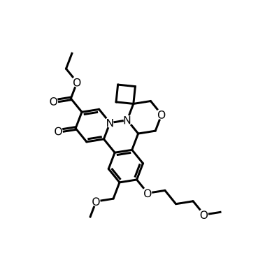 CCOC(=O)c1cn2c(cc1=O)-c1cc(COC)c(OCCCOC)cc1C1COCC3(CCC3)N12